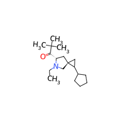 CCN1C[C@]2(CC2C2CCCC2)C[C@H]1C(=O)C(C)(C)C